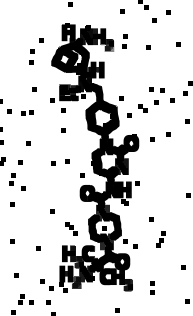 CCN(Cc1ccc(-n2ccc(NC(=O)N3CCN(C(=O)C(C)(C)N)CC3)nc2=O)cc1)[C@@H]1C[C@H](N)C2CC1C2